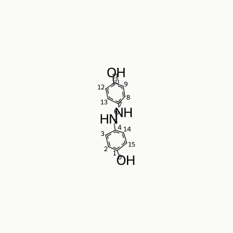 Oc1ccc(NNc2ccc(O)cc2)cc1